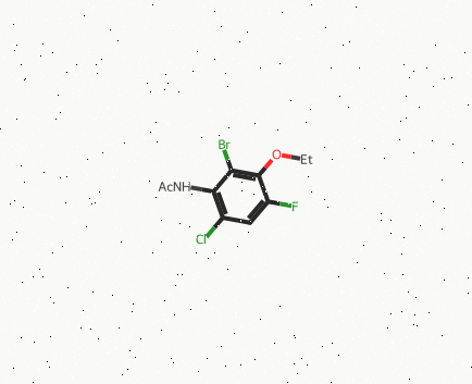 CCOc1c(F)cc(Cl)c(NC(C)=O)c1Br